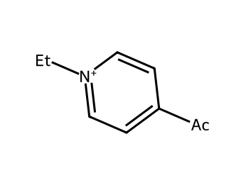 CC[n+]1ccc(C(C)=O)cc1